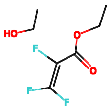 CCO.CCOC(=O)C(F)=C(F)F